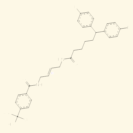 CC(C)(C)c1ccc(C(=O)NC/C=C/CNC(=O)CCCCC(c2ccc(F)cc2)c2ccc(F)cc2)cc1